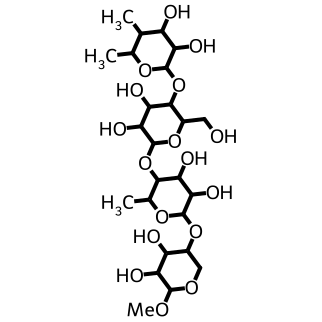 COC1OCC(OC2OC(C)C(OC3OC(CO)C(OC4OC(C)C(C)C(O)C4O)C(O)C3O)C(O)C2O)C(O)C1O